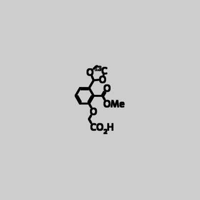 COC(=O)c1c(OCC(=O)O)cccc1C1OC[13CH2]O1